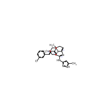 Cc1cc(NC2=N/C(N3CCN(C)CC3)=C/CC(C)C(/C=C/c3cccc(Cl)c3)=N\2)n[nH]1